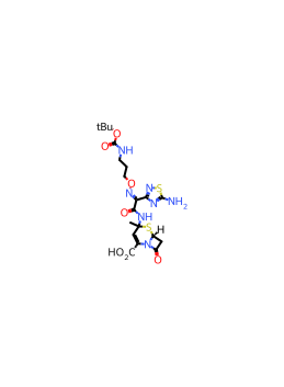 CC(C)(C)OC(=O)NCCCO/N=C(/C(=O)NC1(C)C=C(C(=O)O)N2C(=O)C[C@H]2S1)c1nsc(N)n1